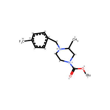 CC1CN(C(=O)OC(C)(C)C)CCN1Cc1ccc(C(F)(F)F)cc1